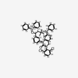 CC(C)(C)CC(O[SiH](c1ccccc1)c1ccccc1)c1cccc(N2C(=O)N(c3c(Cl)cccc3Cl)Cc3cnc(Nc4ccccc4)nc32)c1